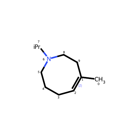 C/C1=C/CCCN(C(C)C)CC1